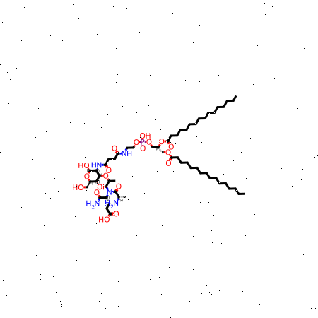 CCCCCCCCCCCCCCCC(=O)OC[C@H](COP(=O)(O)OCCNC(=O)CCC(=O)N[C@@H]1[C@@H](OC(C)CN(C(=O)[C@H](C)N)[C@H](CCC(=O)O)C(N)=O)[C@H](O)[C@@H](CO)O[C@@H]1O)OC(=O)CCCCCCCCCCCCCCC